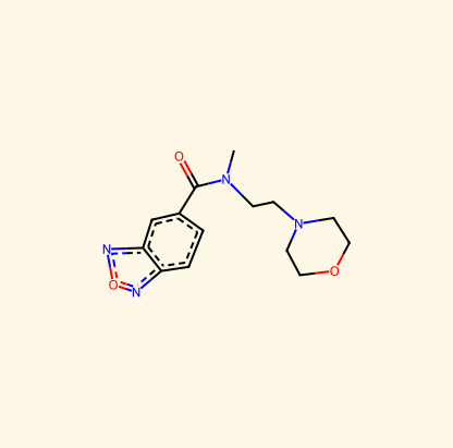 CN(CCN1CCOCC1)C(=O)c1ccc2nonc2c1